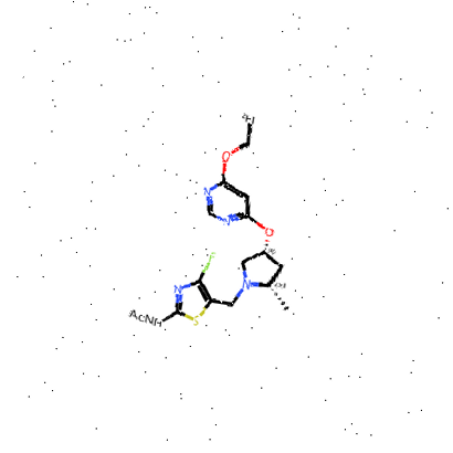 [2H]COc1cc(O[C@@H]2C[C@H](C)N(Cc3sc(NC(C)=O)nc3F)C2)ncn1